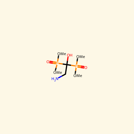 COP(=O)(OC)C(O)(CN)P(=O)(OC)OC